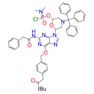 CN(C)P(=O)(Cl)OC1CN(C(c2ccccc2)(c2ccccc2)c2ccccc2)CC(n2cnc3c(OCc4ccc(CC(=O)C(C)(C)C)cc4)nc(NC(=O)Cc4ccccc4)nc32)O1